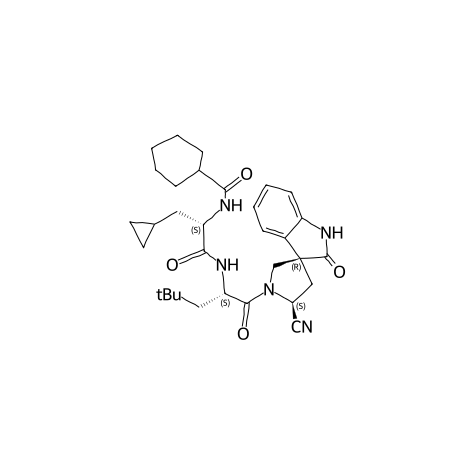 CC(C)(C)C[C@H](NC(=O)[C@H](CC1CC1)NC(=O)C1CCCCC1)C(=O)N1C[C@]2(C[C@H]1C#N)C(=O)Nc1ccccc12